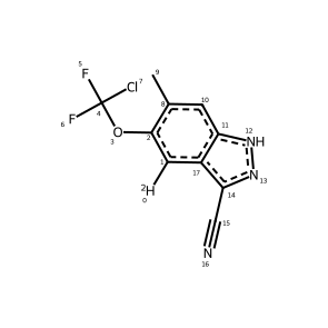 [2H]c1c(OC(F)(F)Cl)c(C)cc2[nH]nc(C#N)c12